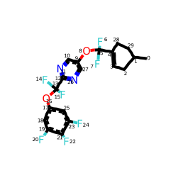 CC1CC=C(C(F)(F)Oc2cnc(C(F)(F)Oc3cc(F)c(F)c(F)c3)nc2)CC1